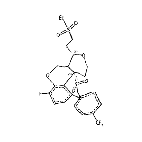 CCS(=O)(=O)CC[C@@H]1OCC[C@@]2(S(=O)(=O)c3ccc(C(F)(F)F)cc3)c3c(F)ccc(F)c3OCC12